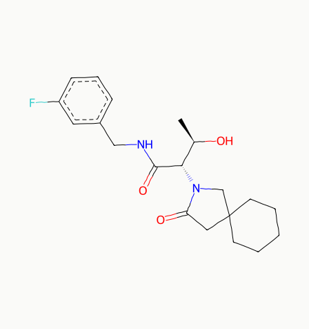 C[C@@H](O)[C@@H](C(=O)NCc1cccc(F)c1)N1CC2(CCCCC2)CC1=O